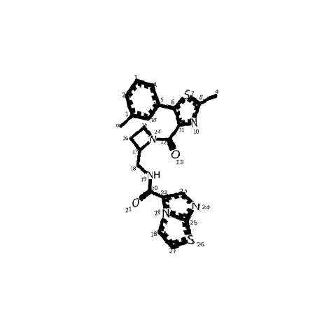 Cc1cccc(-c2sc(C)nc2C(=O)N2CCC2CNC(=O)c2cnc3sccn23)c1